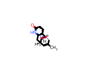 CC1=C[C@@H]2Cc3[nH]c(=O)ccc3[C@]3(C1)NCCC[C@H]23